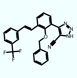 N#Cc1[nH]nnc1-c1cccc(/C=C/c2cccc(C(F)(F)F)c2)c1OCc1ccccc1